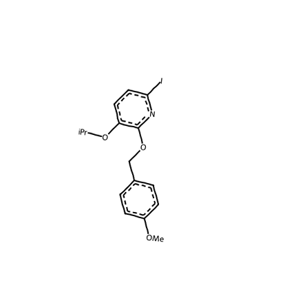 COc1ccc(COc2nc(I)ccc2OC(C)C)cc1